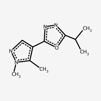 Cc1c(-c2nnc(C(C)C)o2)cnn1C